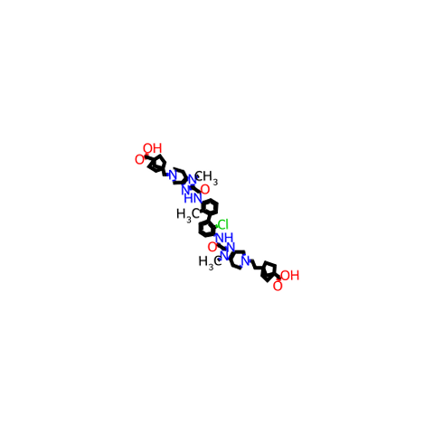 Cc1c(NC(=O)c2nc3c(n2C)CCN(CC24CCC(C(=O)O)(CC2)C4)C3)cccc1-c1cccc(NC(=O)c2nc3c(n2C)CCN(CCC24CCC(C(=O)O)(CC2)C4)C3)c1Cl